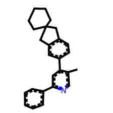 Cc1cnc(-c2ccccc2)cc1-c1ccc2c(c1)CC1(CCCCC1)C2